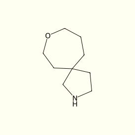 C1COCCC2(C1)CCNC2